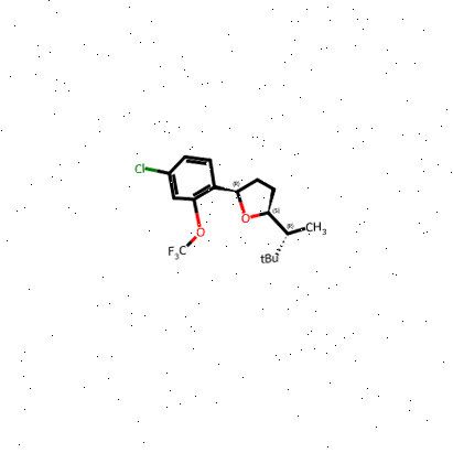 C[C@@H]([C@@H]1CC[C@H](c2ccc(Cl)cc2OC(F)(F)F)O1)C(C)(C)C